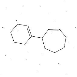 [C]1=CC(C2=CCCCC2)CCCC1